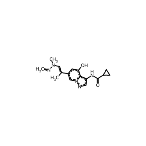 C=NN(C)/C=C(\C)c1cc(O)c2c(NC(=O)C3CC3)cnn2c1